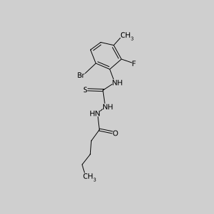 CCCCC(=O)NNC(=S)Nc1c(Br)ccc(C)c1F